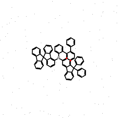 c1ccc(-c2ccccc2-c2ccccc2N(c2ccc3c(c2)-c2ccccc2C3(c2ccccc2)c2ccccc2)c2cccc3c2-c2ccccc2C32c3ccccc3-c3ccccc32)cc1